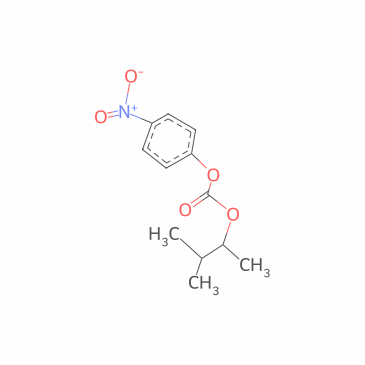 CC(C)C(C)OC(=O)Oc1ccc([N+](=O)[O-])cc1